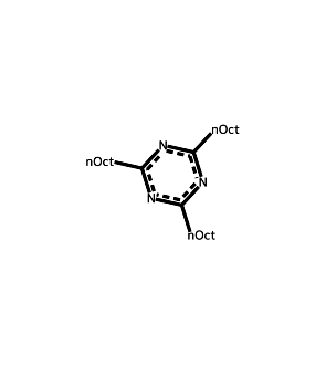 CCCCCCCCc1nc(CCCCCCCC)nc(CCCCCCCC)n1